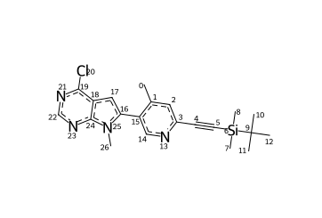 Cc1cc(C#C[Si](C)(C)C(C)(C)C)ncc1-c1cc2c(Cl)ncnc2n1C